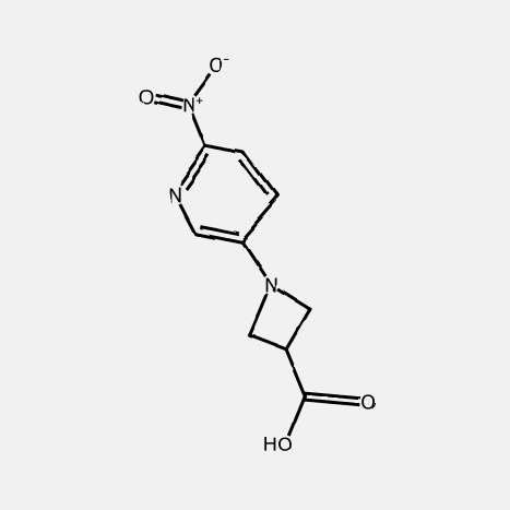 O=C(O)C1CN(c2ccc([N+](=O)[O-])nc2)C1